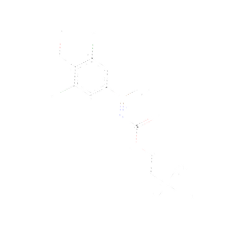 C/S(=N\C(=O)OCC[Si](C)(C)C)c1cc(F)c(CO)c(F)c1